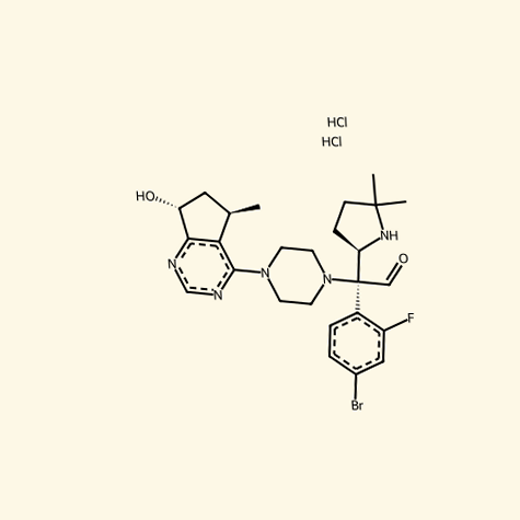 C[C@@H]1C[C@@H](O)c2ncnc(N3CCN([C@@](C=O)(c4ccc(Br)cc4F)[C@H]4CCC(C)(C)N4)CC3)c21.Cl.Cl